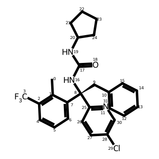 Cc1c(C(F)(F)F)cccc1[C@](Cc1ccccc1)(NC(=O)NC1CCCC1)c1ccc(Cl)cn1